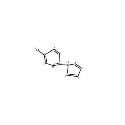 [O]c1ccc(-n2cccc2)cc1